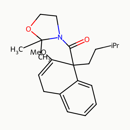 COC1=CCc2ccccc2C1(CCC(C)C)C(=O)N1CCOC1(C)C